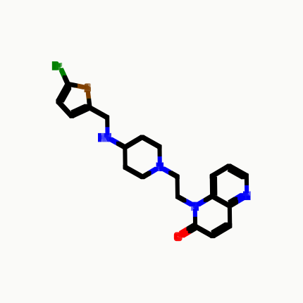 O=c1ccc2ncccc2n1CCN1CCC(NCc2ccc(Br)s2)CC1